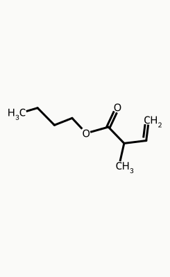 C=CC(C)C(=O)OCCCC